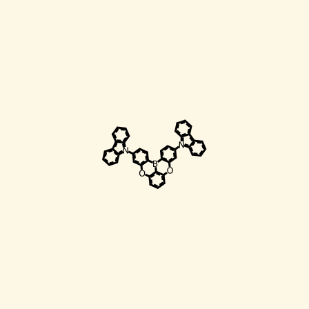 c1cc2c3c(c1)Oc1cc(-n4c5ccccc5c5ccccc54)ccc1B3c1ccc(-n3c4ccccc4c4ccccc43)cc1O2